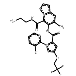 CCCNC(=O)c1c(NC(=O)c2cc(OCC(F)(F)F)nn2-c2ncccc2Cl)c(C)cc2ccnn12